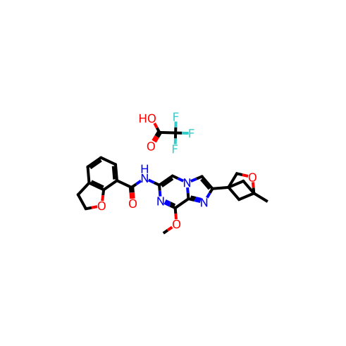 COc1nc(NC(=O)c2cccc3c2OCC3)cn2cc(C34COC(C)(C3)C4)nc12.O=C(O)C(F)(F)F